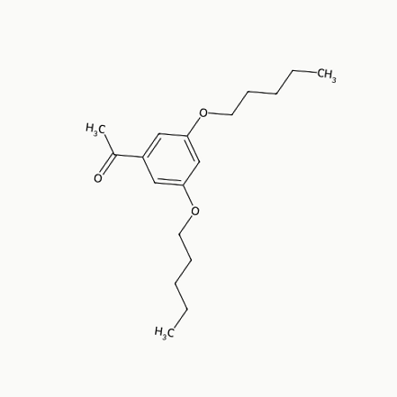 CCCCCOc1cc(OCCCCC)cc(C(C)=O)c1